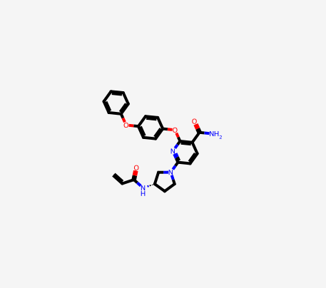 C=CC(=O)N[C@H]1CCN(c2ccc(C(N)=O)c(Oc3ccc(Oc4ccccc4)cc3)n2)C1